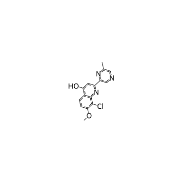 COc1ccc2c(O)cc(-c3cncc(C)n3)nc2c1Cl